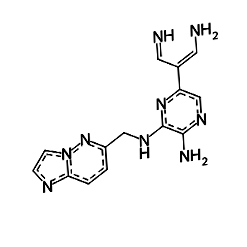 N=C/C(=C\N)c1cnc(N)c(NCc2ccc3nccn3n2)n1